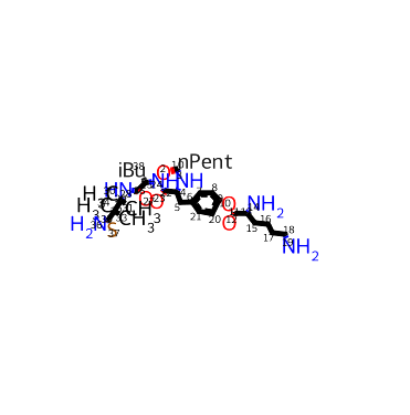 CCCCCC(=O)NC(Cc1ccc(OC(=O)C(N)CCCCN)cc1)C(=O)NC(C(=O)NC(C)(C)C(C)(C)C(N)=S)C(C)CC